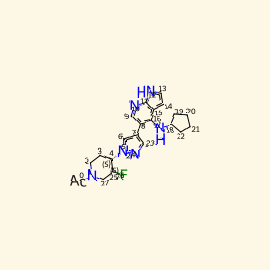 CC(=O)N1CC[C@H](n2cc(-c3cnc4[nH]ccc4c3NC3CCCC3)cn2)[C@@H](F)C1